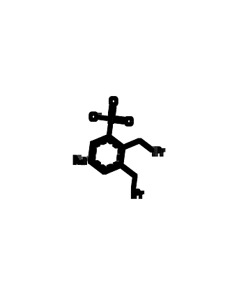 CC(C)Cc1cccc(S(=O)(=O)[O-])c1CC(C)C.[Na+]